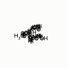 CS(=O)(=O)N1CCc2c(c(-c3ccc(C(F)(F)F)c(CNC(=O)CN4CCC(O)C4)c3)nn2CCCN2CCC(N3CCCC3=O)CC2)C1